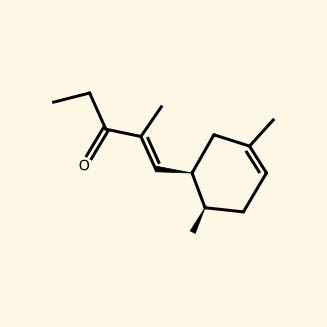 CCC(=O)/C(C)=C/[C@H]1CC(C)=CC[C@H]1C